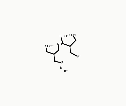 CC(C)C[C@@H](CC(=O)[O-])C[N+](=O)[O-].CC(C)C[C@@H](CC(=O)[O-])C[N+](=O)[O-].[K+].[K+]